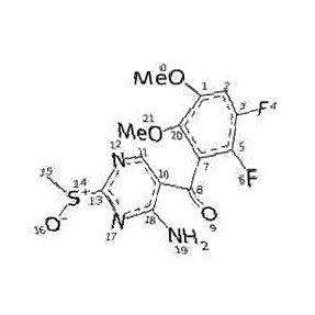 COc1cc(F)c(F)c(C(=O)c2cnc([S+](C)[O-])nc2N)c1OC